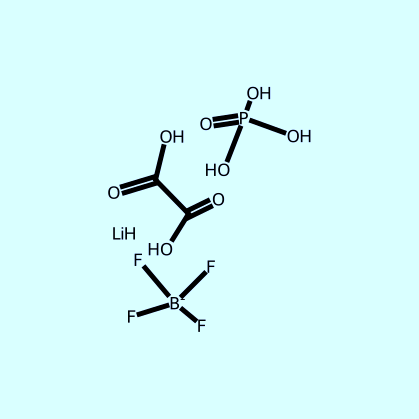 F[B-](F)(F)F.O=C(O)C(=O)O.O=P(O)(O)O.[LiH]